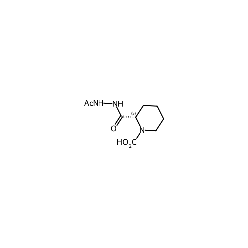 CC(=O)NNC(=O)[C@@H]1CCCCN1C(=O)O